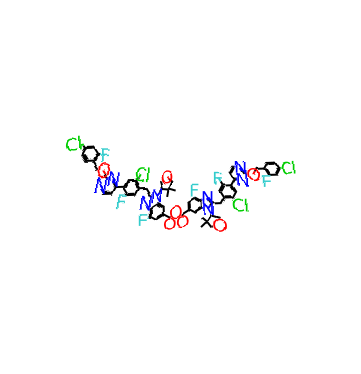 CC1(C)COCC1n1c(Cc2cc(F)c(-c3ccnc(OCc4ccc(Cl)cc4F)n3)cc2Cl)nc2c(F)cc(C(=O)OC(=O)c3cc(F)c4nc(Cc5cc(F)c(-c6ccnc(OCc7ccc(Cl)cc7F)n6)cc5Cl)n(C5COCC5(C)C)c4c3)cc21